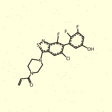 C=CC(=O)N1CCN(c2snc3c(F)c(-c4cc(O)cc(F)c4F)c(Cl)cc23)CC1